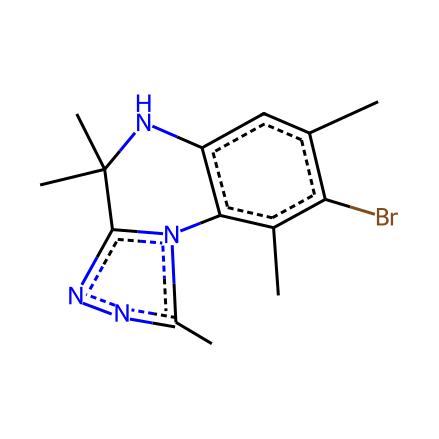 Cc1cc2c(c(C)c1Br)-n1c(C)nnc1C(C)(C)N2